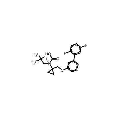 CC(C)(C)CN(C(=O)O)C1(COc2cncc(-c3cc(F)ccc3F)c2)CC1